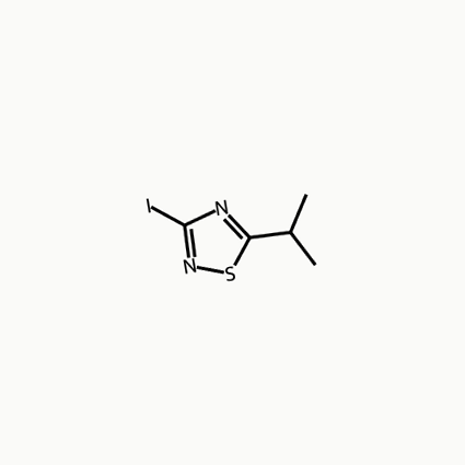 CC(C)c1nc(I)ns1